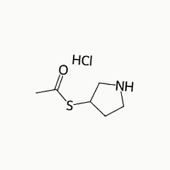 CC(=O)SC1CCNC1.Cl